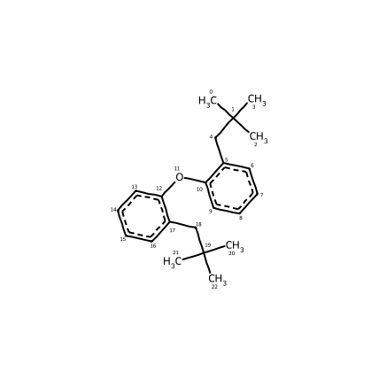 CC(C)(C)Cc1ccccc1Oc1ccccc1CC(C)(C)C